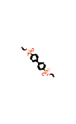 CCOS(=O)(=O)c1ccc(-c2ccc(S(=O)(=O)OCC)cc2)cc1